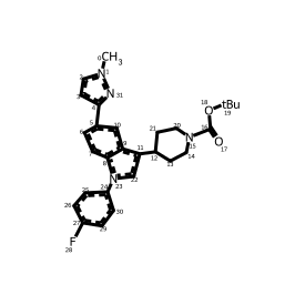 Cn1ccc(-c2ccc3c(c2)c(C2CCN(C(=O)OC(C)(C)C)CC2)cn3-c2ccc(F)cc2)n1